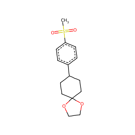 CS(=O)(=O)c1ccc(C2CCC3(CC2)OCCO3)cc1